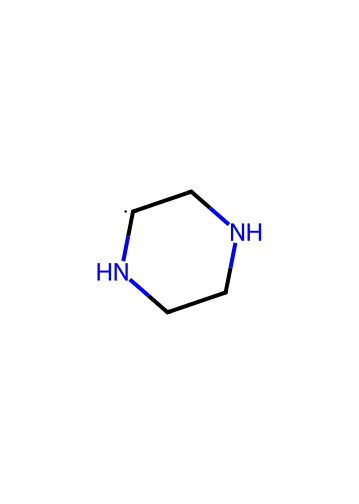 [CH]1CNCCN1